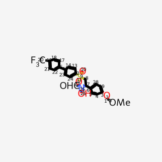 COCOc1ccc(C(CS(=O)(=O)c2ccc(-c3ccc(C(F)(F)F)cc3)cc2)N(O)C=O)cc1